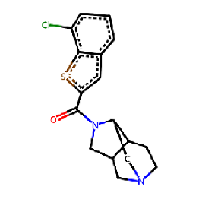 O=C(c1cc2cccc(Cl)c2s1)N1CC2CN3CCC2C1C3